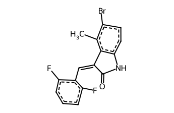 Cc1c(Br)ccc2c1C(=Cc1c(F)cccc1F)C(=O)N2